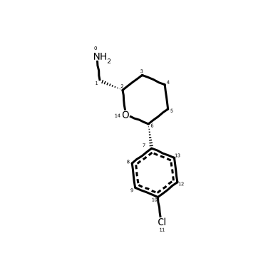 NC[C@@H]1CCC[C@H](c2ccc(Cl)cc2)O1